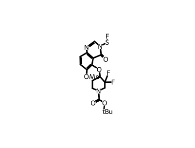 COc1ccc2ncn(SF)c(=O)c2c1OC1CCN(C(=O)OC(C)(C)C)CC1(F)F